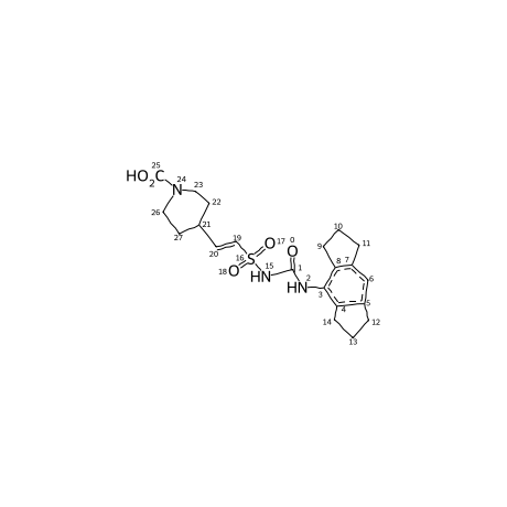 O=C(Nc1c2c(cc3c1CCC3)CCC2)NS(=O)(=O)/C=C/C1CCN(C(=O)O)CC1